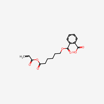 C=CC(=O)OC(=O)CCCCCOC(=O)c1ccccc1C(=O)O